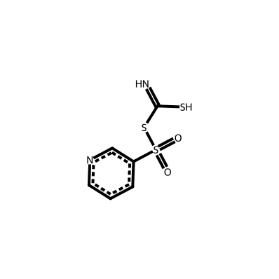 N=C(S)SS(=O)(=O)c1cccnc1